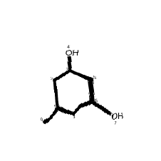 CC1CC(O)CC(O)C1